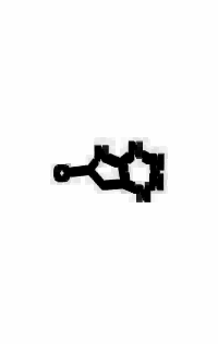 O=C1C=c2nnnnc2=N1